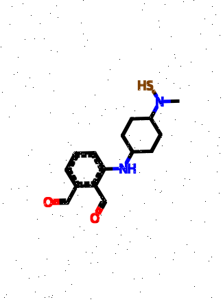 CN(S)C1CCC(Nc2cccc(C=O)c2C=O)CC1